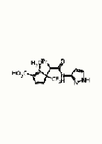 CC(C)C(C(=O)Nc1cc[nH]n1)C1(C(F)(F)F)C=CC(C(=O)O)=S1C